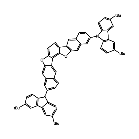 CC(C)(C)c1ccc2c(c1)c1cc(C(C)(C)C)ccc1n2-c1ccc2cc3c(cc2c1)oc1c3ccc2oc3cc4cc(-n5c6ccc(C(C)(C)C)cc6c6cc(C(C)(C)C)ccc65)ccc4cc3c21